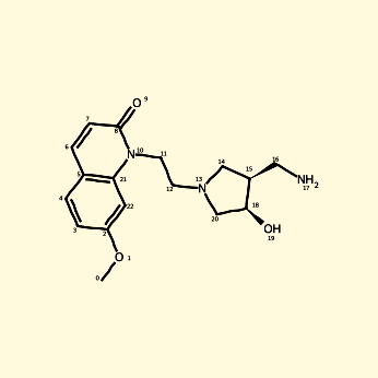 COc1ccc2ccc(=O)n(CCN3C[C@@H](CN)[C@@H](O)C3)c2c1